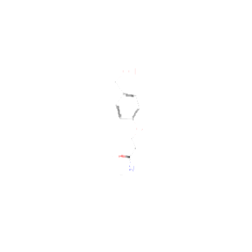 CCNC(=O)CCOc1ccc(CO)cc1